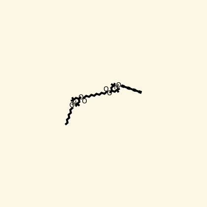 C#CC#CC#CC#CON1C(C)(C)CC(OC(=O)CCCCCCCCC(=O)OC2CC(C)(C)N(OCCCCCCCC)C(C)(C)C2)CC1(C)C